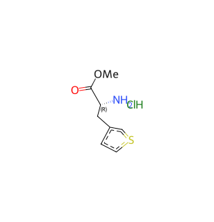 COC(=O)[C@H](N)Cc1ccsc1.Cl